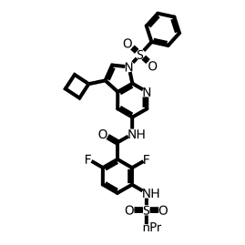 CCCS(=O)(=O)Nc1ccc(F)c(C(=O)Nc2cnc3c(c2)c(C2CCC2)cn3S(=O)(=O)c2ccccc2)c1F